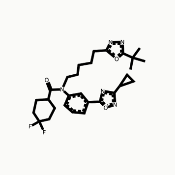 CC(C)(C)c1nnc(CCCCCN(C(=O)C2CCC(F)(F)CC2)c2cccc(-c3nc(C4CC4)no3)c2)o1